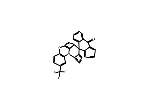 O=C1c2ccccc2C2(c3ccccc31)c1ccccc1N1c3cc(C(F)(F)F)ccc3Sc3cccc2c31